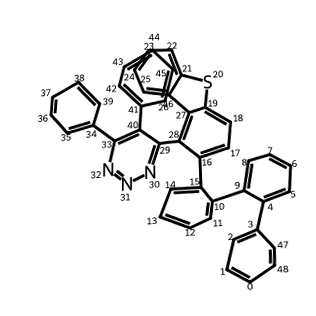 c1ccc(-c2ccccc2-c2ccccc2-c2ccc3sc4ccccc4c3c2-c2nnnc(-c3ccccc3)c2-c2ccccc2)cc1